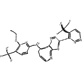 CCOc1nc(Nc2ccnc3nc(-c4nnccc4C(F)(F)F)cnc23)ccc1C(F)(F)F